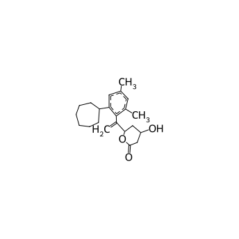 C=C(c1c(C)cc(C)cc1C1CCCCCC1)C1CC(O)CC(=O)O1